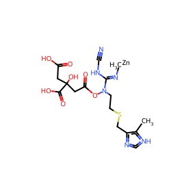 CN=C(NC#N)N(CCSCc1nc[nH]c1C)OC(=O)CC(O)(CC(=O)O)C(=O)O.[Zn]